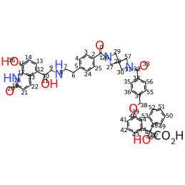 O=C(c1ccc(CCNCC(O)c2ccc(O)c3[nH]c(=O)ccc23)cc1)N1CC2(C1)CN(C(=O)c1ccc(COc3cccc(C(O)(C(=O)O)c4ccccc4)c3)cc1)C2